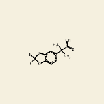 CC(C)(C(=O)O)c1ccc2c(c1)OC(F)(F)O2